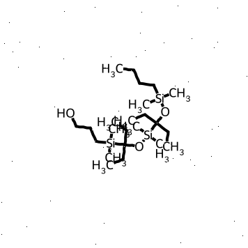 CCCC[Si](C)(C)OC(CC)(CC)[Si](C)(C)OC(CC)(CC)[Si](C)(C)CCCO